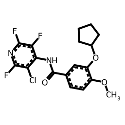 COc1ccc(C(=O)Nc2c(F)c(F)nc(F)c2Cl)cc1OC1CCCC1